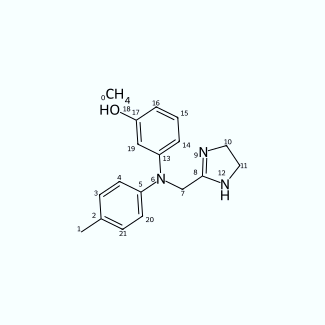 C.Cc1ccc(N(CC2=NCCN2)c2cccc(O)c2)cc1